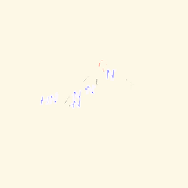 CC1(F)CCN(C(=O)c2ccc(-n3ncc4c3CCNC4)nc2)CC1